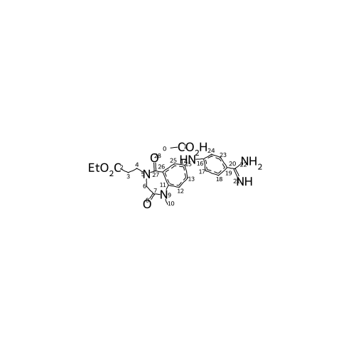 CC(=O)O.CCOC(=O)CCN1CC(=O)N(C)c2ccc(Nc3ccc(C(=N)N)cc3)cc2C1=O